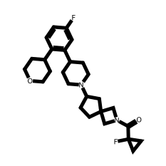 O=C(N1CC2(CCC(N3CCC(c4cc(F)ccc4C4CCOCC4)CC3)C2)C1)C1(F)CC1